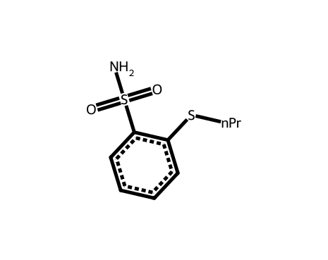 CCCSc1ccccc1S(N)(=O)=O